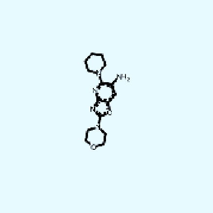 Nc1cc2oc(N3CCOCC3)nc2nc1N1CCCCC1